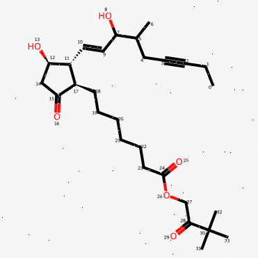 CCC#CCC(C)C(O)/C=C/[C@H]1[C@H](O)CC(=O)[C@@H]1CCCCCCC(=O)OCC(=O)C(C)(C)C